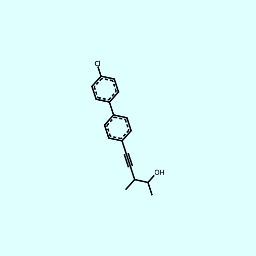 CC(O)C(C)C#Cc1ccc(-c2ccc(Cl)cc2)cc1